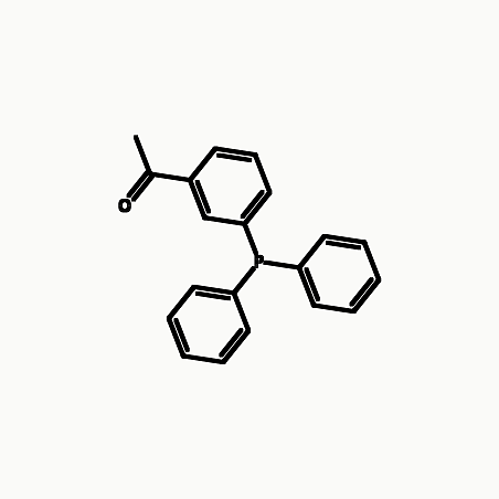 CC(=O)c1cccc(P(c2ccccc2)c2ccccc2)c1